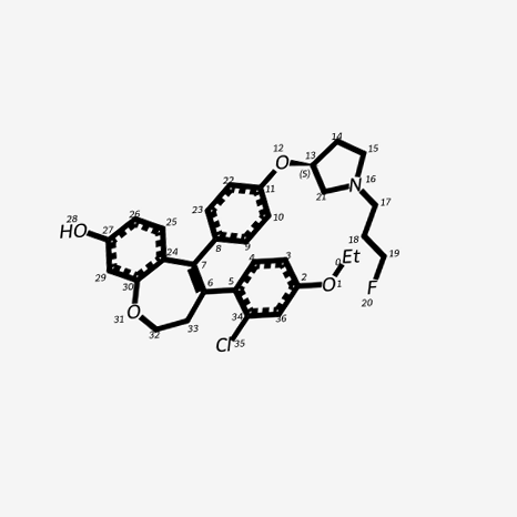 CCOc1ccc(C2=C(c3ccc(O[C@H]4CCN(CCCF)C4)cc3)c3ccc(O)cc3OCC2)c(Cl)c1